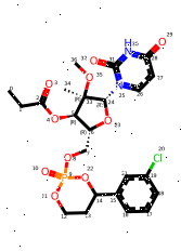 CCC(=O)O[C@@H]1[C@@H](COP2(=O)OCCC(c3cccc(Cl)c3)O2)O[C@@H](n2ccc(=O)[nH]c2=O)[C@]1(C)OC